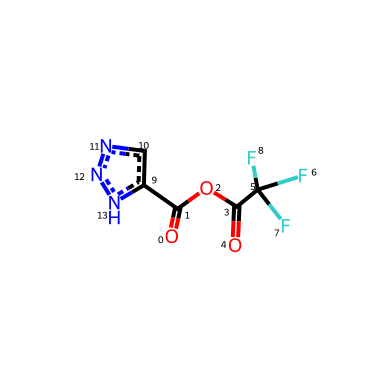 O=C(OC(=O)C(F)(F)F)c1cnn[nH]1